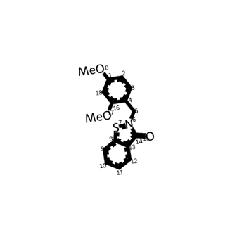 COc1ccc(Cn2sc3ccccc3c2=O)c(OC)c1